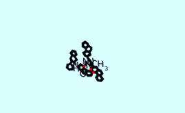 CC1(c2ccc3c(ccc4ccccc43)c2)N=C(c2ccc3c(c2)CCc2ccccc2-3)N=C(c2cc(N3C4Cc5ccccc5C=C4C4C=CC=C[C@@H]43)cc3oc4ccccc4c23)N1